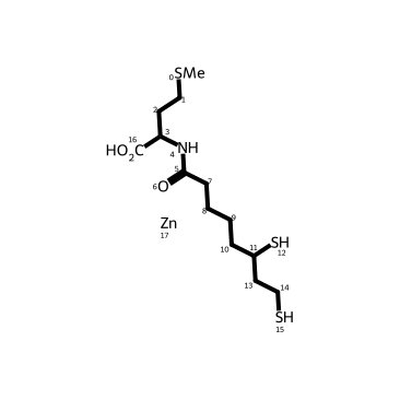 CSCCC(NC(=O)CCCCC(S)CCS)C(=O)O.[Zn]